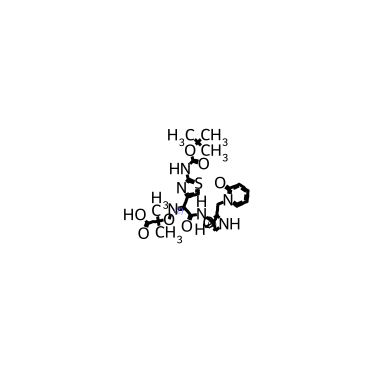 CC(C)(C)OC(=O)Nc1nc(/C(=N/OC(C)(C)C(=O)O)C(=O)N[C@H]2C3NC2(Cn2ccccc2=O)O3)cs1